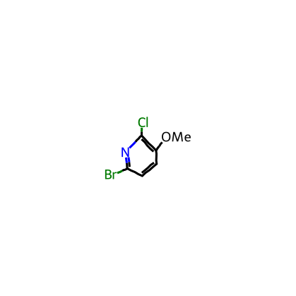 COc1ccc(Br)nc1Cl